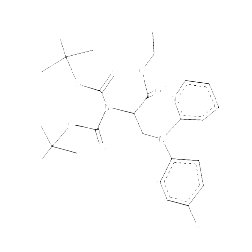 CCOC(=O)C(CN(c1ccc(F)cc1)c1ccccn1)N(C(=O)OC(C)(C)C)C(=O)OC(C)(C)C